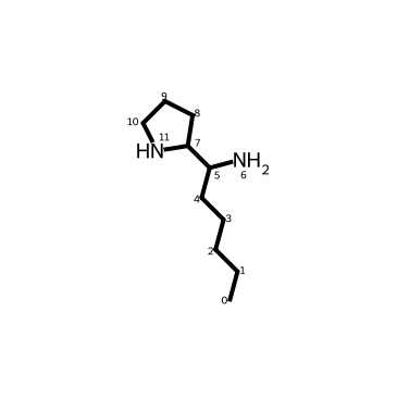 CCCCCC(N)C1CCCN1